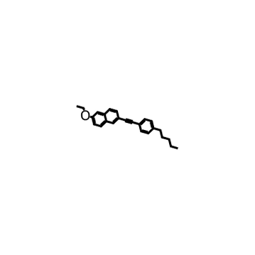 CCCCCc1ccc(C#Cc2ccc3cc(OCC)ccc3c2)cc1